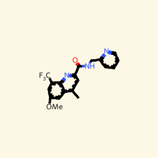 COc1cc(C(F)(F)F)c2nc(C(=O)NCc3ccccn3)cc(C)c2c1